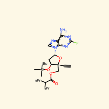 C#C[C@]1(COC(=O)C(CCC)CCC)O[C@@H](n2cnc3c(N)nc(F)nc32)C[C@@H]1O[Si](C)(C)C(C)(C)C